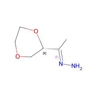 C/C(=N\N)[C@@H]1COCCO1